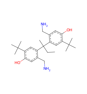 CCC(C)(c1cc(C(C)(C)C)c(O)cc1CN)c1cc(C(C)(C)C)c(O)cc1CN